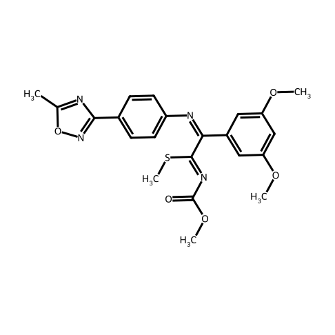 COC(=O)N=C(SC)C(=Nc1ccc(-c2noc(C)n2)cc1)c1cc(OC)cc(OC)c1